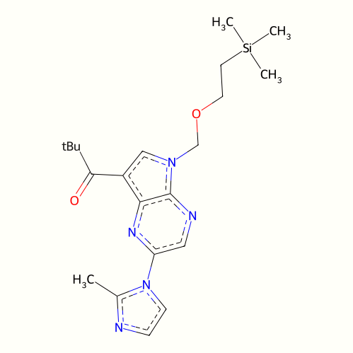 Cc1nccn1-c1cnc2c(n1)c(C(=O)C(C)(C)C)cn2COCC[Si](C)(C)C